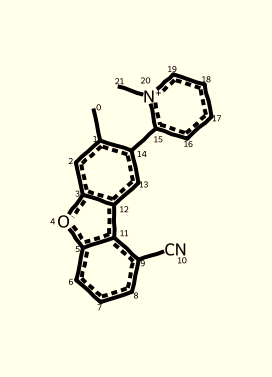 Cc1cc2oc3cccc(C#N)c3c2cc1-c1cccc[n+]1C